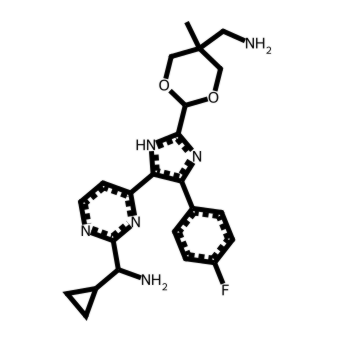 CC1(CN)COC(c2nc(-c3ccc(F)cc3)c(-c3ccnc(C(N)C4CC4)n3)[nH]2)OC1